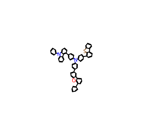 c1ccc(-c2cccc3c2oc2ccc(-c4ccc(N(c5ccc(-c6cccc7c6sc6ccccc67)cc5)c5ccc(-c6cccc7c6c6ccccc6n7-c6ccccc6)cc5)cc4)cc23)cc1